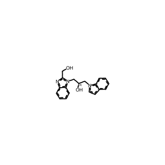 OCc1nc2ccccc2n1C[C@H](O)Cn1ccc2ccccc21